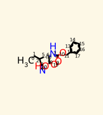 CCC(C#N)C[C@H](NC(=O)OCc1ccccc1)C(=O)O